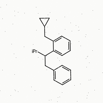 CC(C)[C](Cc1ccccc1)c1ccccc1CC1CC1